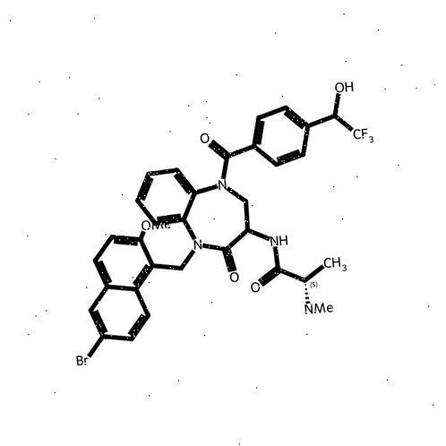 CN[C@@H](C)C(=O)NC1CN(C(=O)c2ccc(C(O)C(F)(F)F)cc2)c2ccccc2N(Cc2c(OC)ccc3cc(Br)ccc23)C1=O